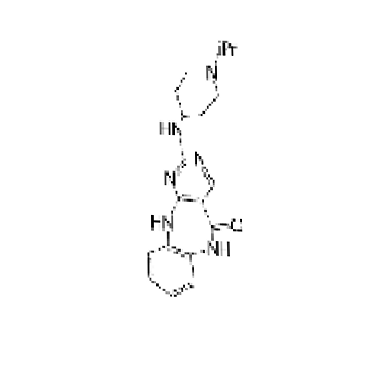 Cc1ccc2c(c1)NC(=O)c1cnc(NC3CCN(C(C)C)CC3)nc1N2